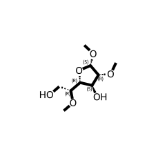 CO[C@H]1O[C@@H]([C@@H](CO)OC)[C@H](O)[C@H]1OC